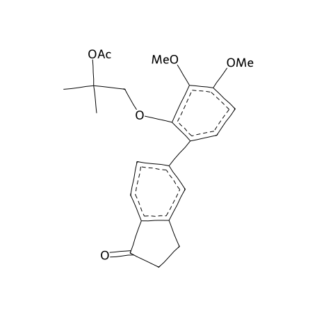 COc1ccc(-c2ccc3c(c2)CCC3=O)c(OCC(C)(C)OC(C)=O)c1OC